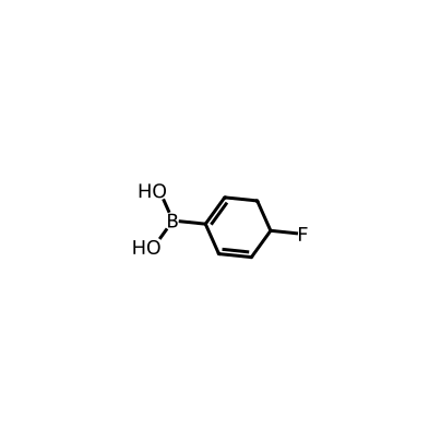 OB(O)C1=CCC(F)C=C1